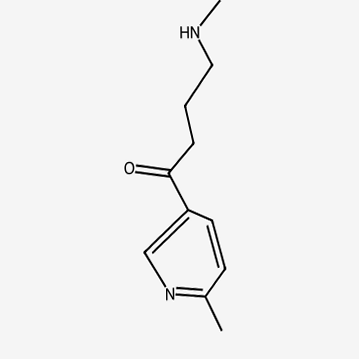 CNCCCC(=O)c1ccc(C)nc1